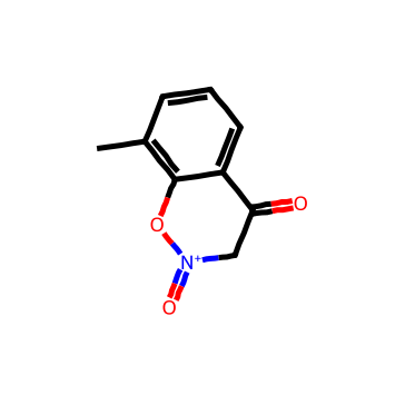 Cc1cccc2c1O[N+](=O)CC2=O